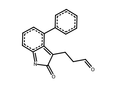 O=CCCC1=c2c(-c3ccccc3)cccc2=NC1=O